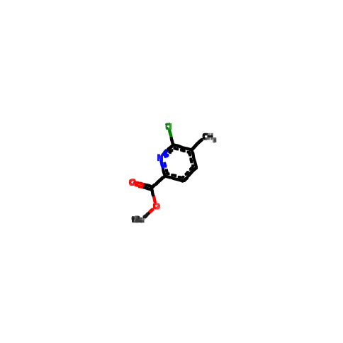 Cc1ccc(C(=O)OC(C)(C)C)nc1Cl